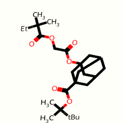 CCC(C)(C)C(=O)OCC(=O)OC12CC3CC(C1)CC(C(=O)OC(C)(C)C(C)(C)C)(C3)C2